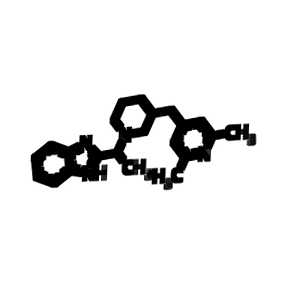 Cc1cc(CC2CCCN(C(C)c3nc4ccccc4[nH]3)C2)cc(C)n1